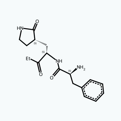 CCC(=O)[C@H](C[C@@H]1CCNC1=O)NC(=O)[C@@H](N)Cc1ccccc1